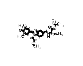 CC[C@H](NCc1ccc2c(c1)nc(-c1cc(C)c(=O)n(C)c1)n2CCOC)C(=O)OC(C)C